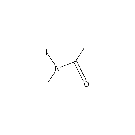 CC(=O)N(C)I